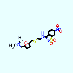 CN(C)Cc1ccc(CSCCNC2=NS(=O)(=O)c3cc([N+](=O)[O-])ccc32)o1